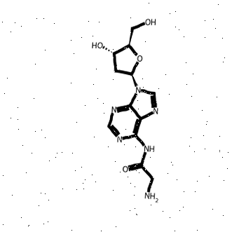 NCC(=O)Nc1ncnc2c1ncn2[C@H]1C[C@H](O)[C@@H](CO)O1